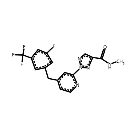 CNC(=O)c1cnn(-c2cc(Cc3cc(F)cc(C(F)(F)F)c3)ccn2)n1